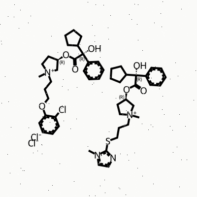 C[N+]1(CCCOc2ccccc2Cl)CC[C@@H](OC(=O)[C@](O)(c2ccccc2)C2CCCC2)C1.Cn1ccnc1SCCC[N+]1(C)CC[C@@H](OC(=O)[C@](O)(c2ccccc2)C2CCCC2)C1.[Cl-].[Cl-]